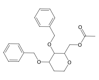 CC(=O)OCC1OCCC(OCc2ccccc2)C1OCc1ccccc1